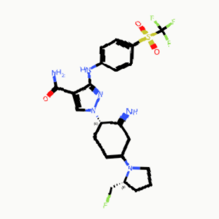 N=C1CC(N2CCC[C@@H]2CF)CC[C@@H]1n1cc(C(N)=O)c(Nc2ccc(S(=O)(=O)C(F)(F)F)cc2)n1